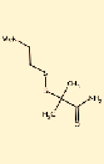 CNCCSSC(C)(C)C(N)=O